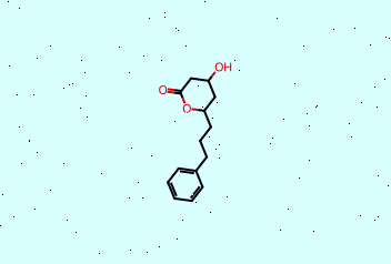 O=C1CC(O)CC(CCCc2ccccc2)O1